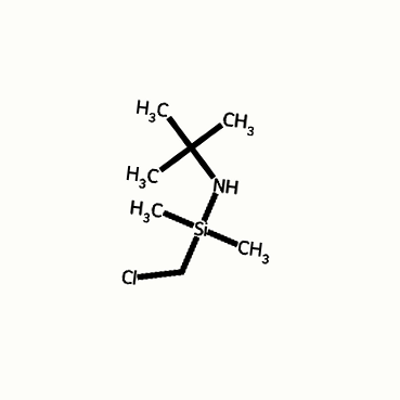 CC(C)(C)N[Si](C)(C)CCl